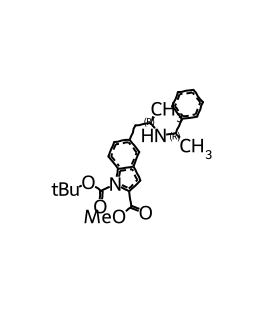 COC(=O)c1cc2cc(C[C@@H](C)N[C@H](C)c3ccccc3)ccc2n1C(=O)OC(C)(C)C